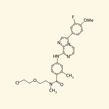 COc1ccc(-c2cnc3c(Nc4ccc(C(=O)N(C)CCOCCCl)c(C)c4)nccn23)cc1F